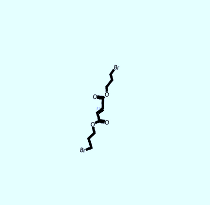 O=C(/C=C/C(=O)OCCCBr)OCCCBr